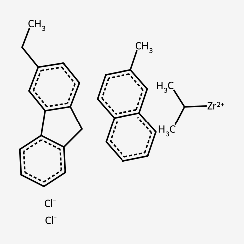 CCc1ccc2c(c1)-c1ccccc1C2.C[CH](C)[Zr+2].Cc1ccc2ccccc2c1.[Cl-].[Cl-]